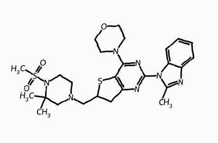 Cc1nc2ccccc2n1-c1nc2c(c(N3CCOCC3)n1)SC(CN1CCN(S(C)(=O)=O)C(C)(C)C1)C2